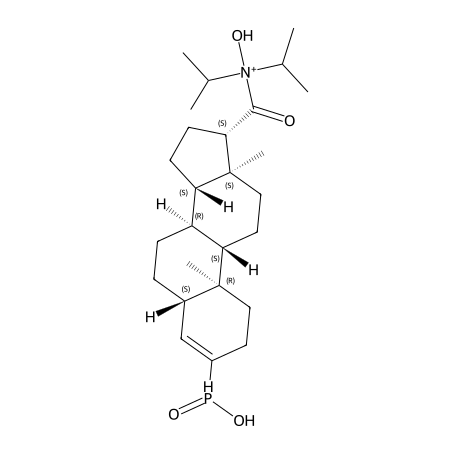 CC(C)[N+](O)(C(=O)[C@H]1CC[C@H]2[C@@H]3CC[C@H]4C=C([PH](=O)O)CC[C@]4(C)[C@H]3CC[C@]12C)C(C)C